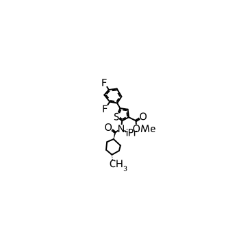 COC(=O)c1cc(-c2ccc(F)cc2F)sc1N(C(=O)[C@H]1CC[C@H](C)CC1)C(C)C